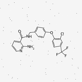 Nc1ncccc1C(=O)NCc1ccc(Oc2ccc(C(F)(F)F)cc2Cl)cc1